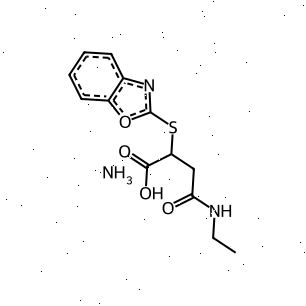 CCNC(=O)CC(Sc1nc2ccccc2o1)C(=O)O.N